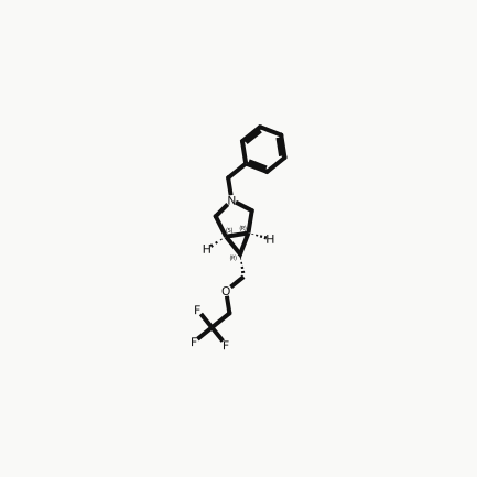 FC(F)(F)COC[C@@H]1[C@H]2CN(Cc3ccccc3)C[C@@H]12